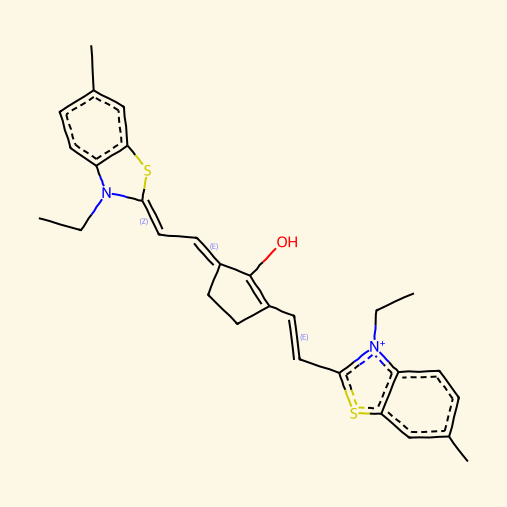 CCN1/C(=C/C=C2\CCC(/C=C/c3sc4cc(C)ccc4[n+]3CC)=C2O)Sc2cc(C)ccc21